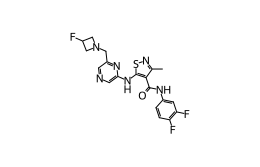 Cc1nsc(Nc2cncc(CN3CC(F)C3)n2)c1C(=O)Nc1ccc(F)c(F)c1